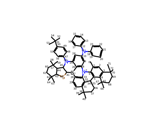 Cc1cc2c(c3c1N1c4cc(N(c5ccccc5)c5ccccc5)cc5c4B(c4ccc6c(c41)C3(C)CCC6(C)C)C1SC3C(C1N5c1ccc(C(C)(C)C)cc1)C(C)(C)CCC3(C)C)C(C)(C)CCC2(C)C